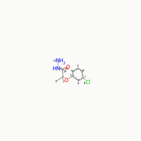 CC(Oc1cccc(Cl)c1)C(=O)NN